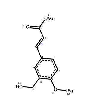 COC(=O)/C=C/c1ccc(OC(C)(C)C)c(CO)c1